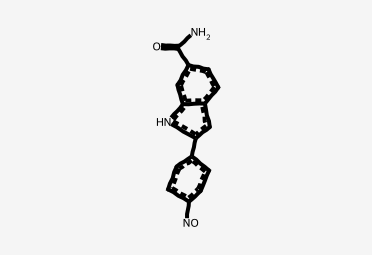 NC(=O)c1ccc2cc(-c3ccc(N=O)cc3)[nH]c2c1